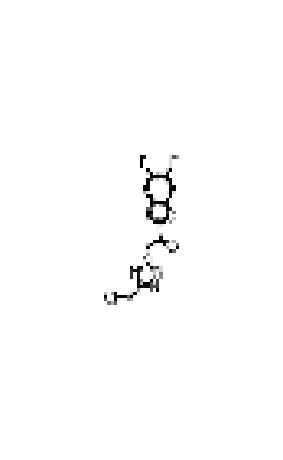 O=C(Cn1nnc(CCl)n1)c1cc2cc(F)c(F)cc2o1